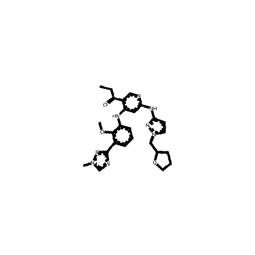 CCC(=O)c1cnc(Nc2ccn(CC3CCCO3)n2)cc1Nc1cccc(-c2ncn(C)n2)c1OC